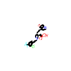 COc1ccc2nccc(CCC[C@@H]3CCN(CC#Cc4ccc(C(F)(F)F)cc4Cl)C[C@@H]3CC(=O)O)c2c1